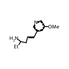 CCC(N)CC=Cc1cncc(OC)c1